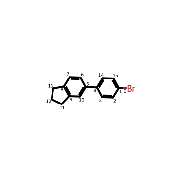 Brc1ccc(-c2ccc3c(c2)CCC3)cc1